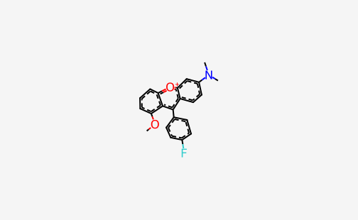 COc1cccc2[o+]c3cc(N(C)C)ccc3c(-c3ccc(F)cc3)c12